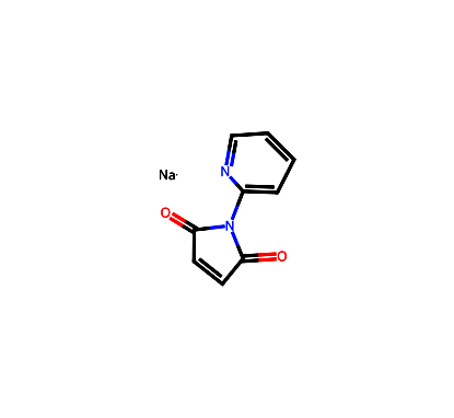 O=C1C=CC(=O)N1c1ccccn1.[Na]